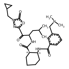 CC(C)CC(NC(=O)[C@@H]1CCCC[C@@H]1NC(=O)c1cccc(CN(C)C)c1)C(=O)c1nn(CC2CC2)c(=O)o1